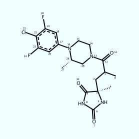 CC(C[C@@]1(C)NC(=O)NC1=O)C(=O)N1CCN(c2cc(F)c(Cl)c(F)c2)[C@@H](C)C1